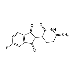 C=C1CCC(C2C(=O)c3ccc(F)cc3C2=O)C(=O)N1